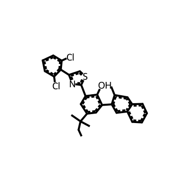 CCC(C)(C)c1cc(-c2nc(-c3c(Cl)cccc3Cl)cs2)c(O)c(-c2cc3ccccc3cc2C)c1